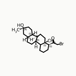 C[C@@]1(O)CC[C@H]2[C@H](CC[C@H]3C4CCC[C@H](C(=O)CBr)[C@@]4(C)CC[C@H]23)C1